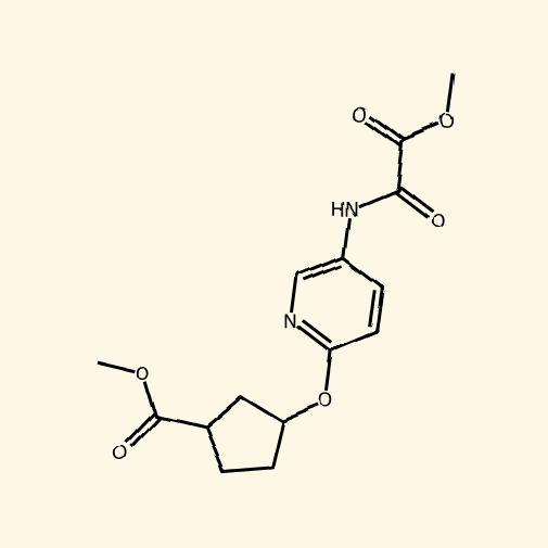 COC(=O)C(=O)Nc1ccc(OC2CCC(C(=O)OC)C2)nc1